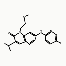 COCCn1c(=O)c(C(C)C)cc2cnc(Nc3ccc(F)cn3)cc21